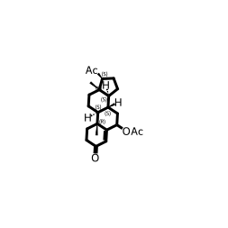 CC(=O)OC1C[C@H]2[C@@H]3CC[C@H](C(C)=O)[C@@]3(C)CC[C@@H]2[C@@]2(C)CCC(=O)C=C12